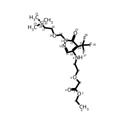 CCOC(=O)COCCNc1cnn(COCC[Si](C)(C)C)c(=O)c1C(F)(F)F